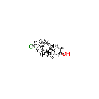 CC(=O)OC1(C(F)(F)F)C(Cl)=CC[C@H]2[C@@H]3CCc4cc(O)ccc4[C@H]3CC[C@@]21C